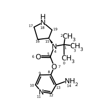 CC(C)(C)N(C(=O)Oc1ccncc1N)[C@H]1CCNC1